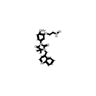 CCNCCOc1cc(N2C(=O)N(Cc3ccnc4ccccc34)C(C)(C)C2=O)ccc1OC